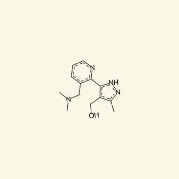 Cc1n[nH]c(-c2ncccc2CN(C)C)c1CO